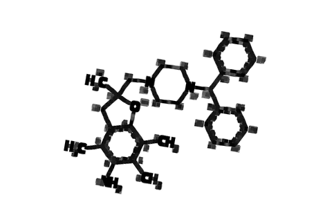 Cc1c(C)c2c(c(C)c1N)CC(C)(CN1CCN(C(c3ccccc3)c3ccccc3)CC1)O2